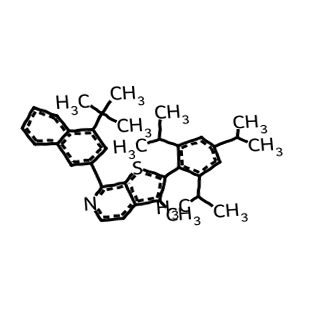 Cc1c(-c2c(C(C)C)cc(C(C)C)cc2C(C)C)sc2c(-c3cc(C(C)(C)C)c4ccccc4c3)nccc12